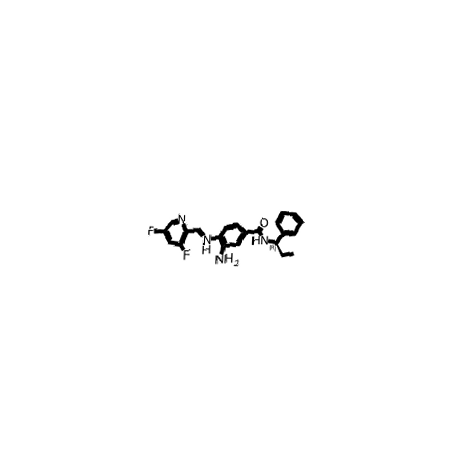 CC[C@@H](NC(=O)c1ccc(NCc2ncc(F)cc2F)c(N)c1)c1ccccc1